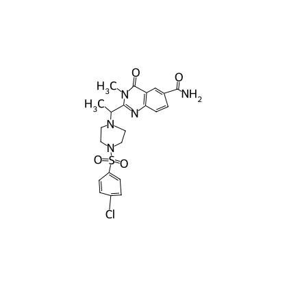 CC(c1nc2ccc(C(N)=O)cc2c(=O)n1C)N1CCN(S(=O)(=O)c2ccc(Cl)cc2)CC1